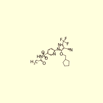 CC(=O)NS(=O)(=O)c1ccc(-n2nc(C(F)(F)F)c(C#N)c2OCC2CCCC2)nc1